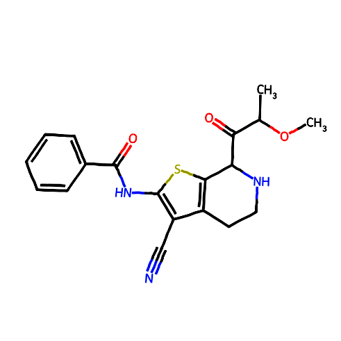 COC(C)C(=O)C1NCCc2c1sc(NC(=O)c1ccccc1)c2C#N